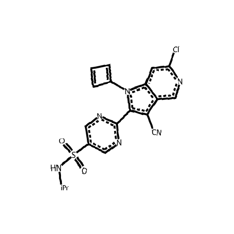 CC(C)NS(=O)(=O)c1cnc(-c2c(C#N)c3cnc(Cl)cc3n2C2=CC=C2)nc1